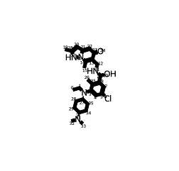 CCN(c1cc(Cl)cc(C(O)NCc2c(C)n3[nH]c(C)cc3cc2=O)c1C)[C@H]1CC[C@H](N(C)C)CC1